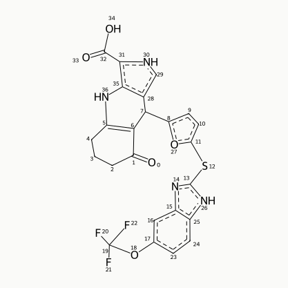 O=C1CCCC2=C1C(c1ccc(Sc3nc4cc(OC(F)(F)F)ccc4[nH]3)o1)c1c[nH]c(C(=O)O)c1N2